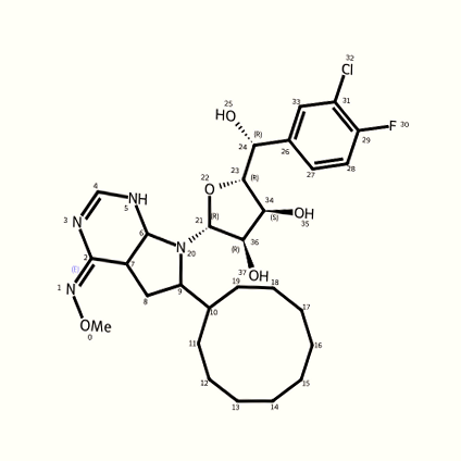 CO/N=C1/N=CNC2C1CC(C1CCCCCCCCC1)N2[C@@H]1O[C@H]([C@H](O)c2ccc(F)c(Cl)c2)[C@@H](O)[C@H]1O